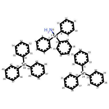 [NH2][Sn]([c]1ccccc1)([c]1ccccc1)[c]1ccccc1.c1cc[c]([Sn]([c]2ccccc2)[c]2ccccc2)cc1.c1cc[c]([Sn]([c]2ccccc2)[c]2ccccc2)cc1